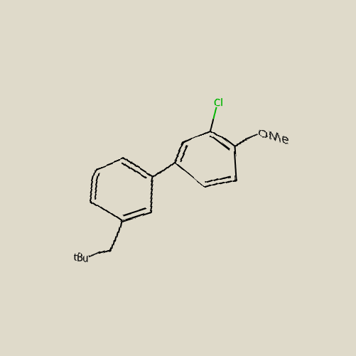 COc1ccc(-c2cccc(CC(C)(C)C)c2)cc1Cl